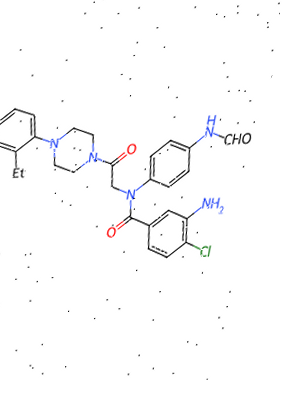 CCc1ccccc1N1CCN(C(=O)CN(C(=O)c2ccc(Cl)c(N)c2)c2ccc(NC=O)cc2)CC1